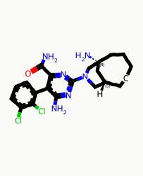 NC(=O)c1nc(N2C[C@H]3CCCCC[C@@](N)(C3)C2)nc(N)c1-c1cccc(Cl)c1Cl